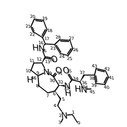 CCN(C)CC[C@H]1CC[C@H]2CC[C@@H](C(=O)NC(c3ccccc3)c3ccccc3)N2C(=O)[C@H]1NC(=O)[C@@H](Cc1ccccc1)NC